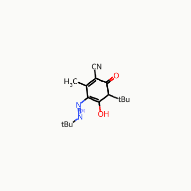 CC1=C(C#N)C(=O)C(C(C)(C)C)C(O)=C1/N=N/C(C)(C)C